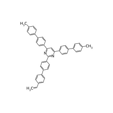 C=Cc1ccc(-c2ccc(-c3nc(-c4ccc(-c5ccc(C)cc5)cc4)cc(-c4ccc(-c5ccc(C)cc5)cc4)n3)cc2)cc1